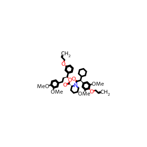 C=CCOc1cccc([C@H](CCc2ccc(OC)c(OC)c2)OC(=O)[C@H]2CCCCN2C(=O)[C@H](c2cc(OC)c(OCC=C)c(OC)c2)C2CCCCC2)c1